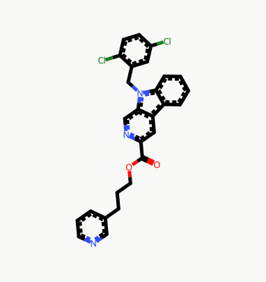 O=C(OCCCc1cccnc1)c1cc2c3ccccc3n(Cc3cc(Cl)ccc3Cl)c2cn1